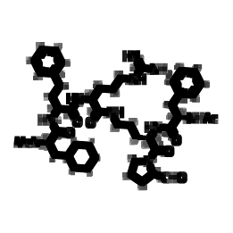 CN[C@H](CC1CCCCC1)C(=O)NC(CCc1ccccc1)C(=O)NC(CCCNC(=N)N)C(=O)NCCC[C@H](NC(=O)[C@H](Cc1ccccc1)NC(C)=O)C(=O)N1CCCC1C=O